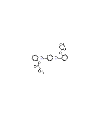 C=CC(=O)Oc1ccccc1/C=C/c1ccc(/C=C/c2ccccc2OC(=O)C=C)cc1